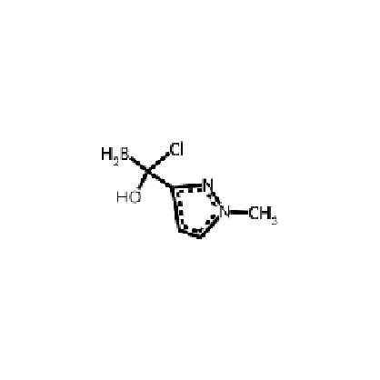 BC(O)(Cl)c1ccn(C)n1